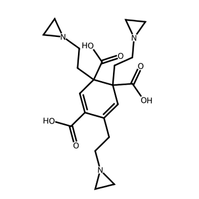 O=C(O)C1=CC(CCN2CC2)(C(=O)O)C(CCN2CC2)(C(=O)O)C=C1CCN1CC1